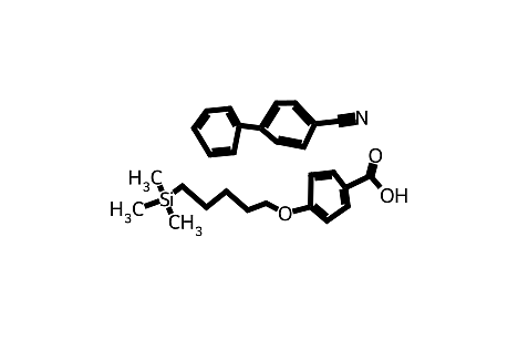 C[Si](C)(C)CCCCCOc1ccc(C(=O)O)cc1.N#Cc1ccc(-c2ccccc2)cc1